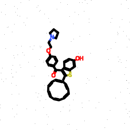 O=C(c1ccc(OCCN2CCCC2)cc1)c1c(C2=CC=CC=CC=CC=CC=C2)sc2cc(O)ccc12